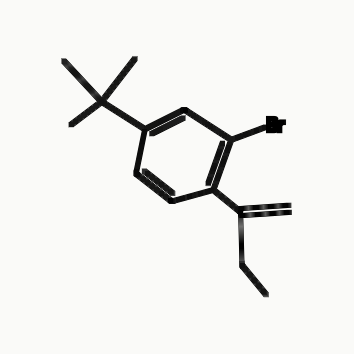 C=C(CC)c1ccc(C(C)(C)C)cc1Br